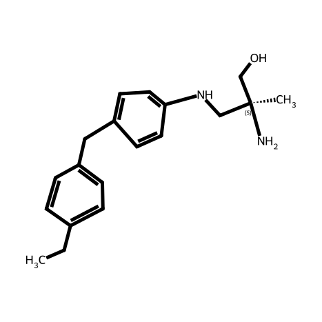 CCc1ccc(Cc2ccc(NC[C@](C)(N)CO)cc2)cc1